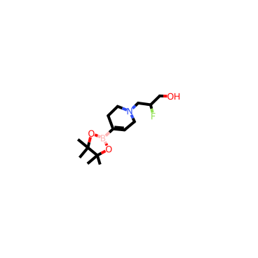 CC1(C)OB(C2=CCN(CC(F)CO)CC2)OC1(C)C